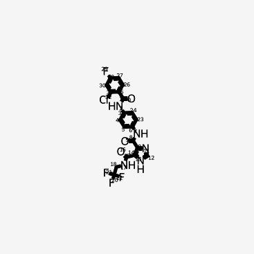 O=C(Nc1ccc(NC(=O)c2nc[nH]c2C(=O)NCC(F)(F)F)cc1)c1ccc(F)cc1Cl